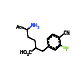 CC(=O)[C@@H](N)CCC(Cc1ccc(C#N)c([18F])c1)C(=O)O